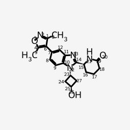 Cc1noc(C)c1-c1ccc2c(c1)nc([C@@H]1CCCC(=O)N1)n2[C@H]1C[C@H](O)C1